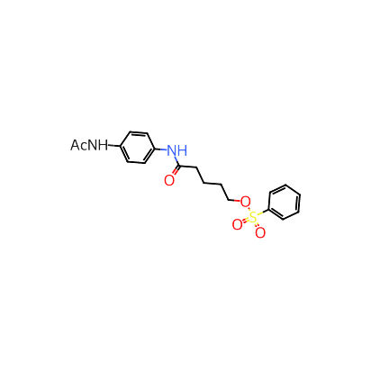 CC(=O)Nc1ccc(NC(=O)CCCCOS(=O)(=O)c2ccccc2)cc1